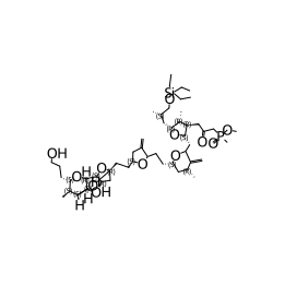 C=C1C[C@H](CC[C@@]23C[C@H]4O[C@@H]5[C@@H](O[C@@H](CCCO)[C@H](C)[C@@H]5O2)[C@H]4O3)OC1CC[C@H]1C[C@@H](C)C(=C)C(C[C@@H]2O[C@H](C[C@H](C)CO[Si](CC)(CC)CC)[C@H](C)[C@H]2CC(=O)CP(C)(=O)OC)O1